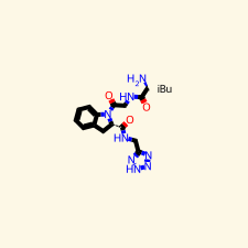 CC[C@H](C)[C@H](N)C(=O)NCC(=O)N1c2ccccc2C[C@H]1C(=O)NCc1nn[nH]n1